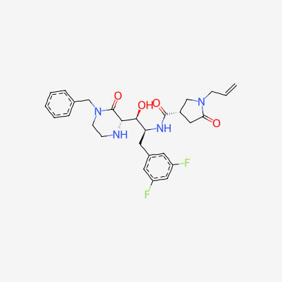 C=CCN1C[C@@H](C(=O)N[C@@H](Cc2cc(F)cc(F)c2)[C@H](O)[C@@H]2NCCN(Cc3ccccc3)C2=O)CC1=O